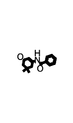 CC1(C)CC(=O)C=C(NC(=O)c2ccccc2)C1